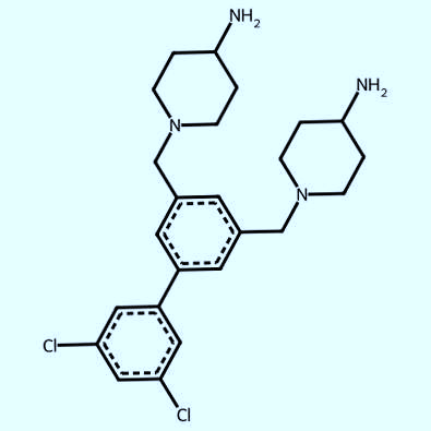 NC1CCN(Cc2cc(CN3CCC(N)CC3)cc(-c3cc(Cl)cc(Cl)c3)c2)CC1